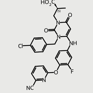 C[C@@H](Cn1c(=O)cc(Nc2ccc(Oc3cccc(C#N)n3)c(F)c2)n(Cc2ccc(Cl)cc2)c1=O)C(=O)O